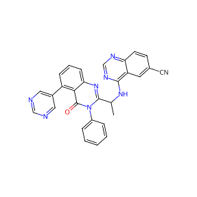 CC(Nc1ncnc2ccc(C#N)cc12)c1nc2cccc(-c3cncnc3)c2c(=O)n1-c1ccccc1